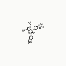 [2H]C([2H])([2H])Oc1ccc(-c2c(=O)n(-c3ccc4nn(C)cc4c3)nc3c(C#N)cn(CC4CC4)c23)cc1